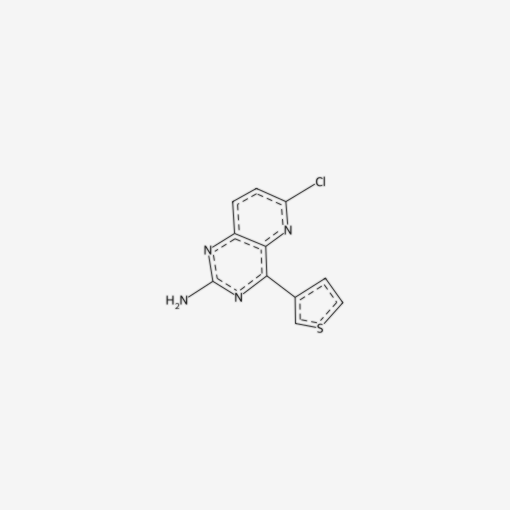 Nc1nc(-c2ccsc2)c2nc(Cl)ccc2n1